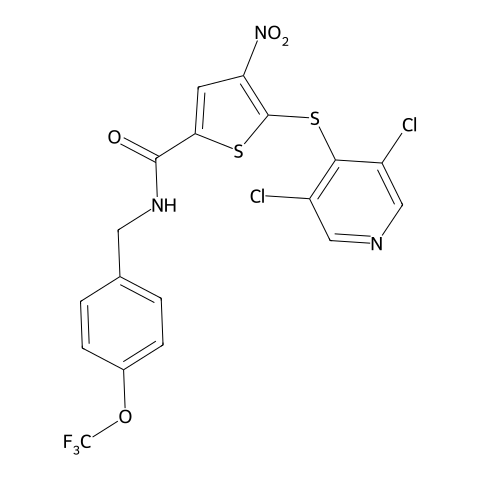 O=C(NCc1ccc(OC(F)(F)F)cc1)c1cc([N+](=O)[O-])c(Sc2c(Cl)cncc2Cl)s1